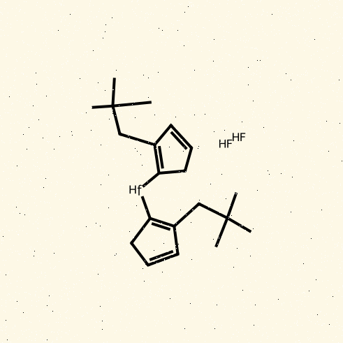 CC(C)(C)CC1=[C]([Hf][C]2=C(CC(C)(C)C)C=CC2)CC=C1.F.F